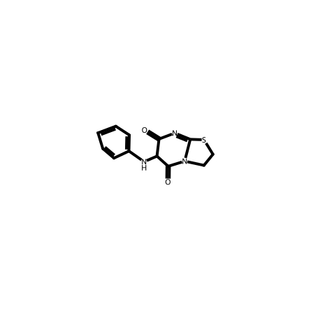 O=C1N=C2SCCN2C(=O)C1Nc1ccccc1